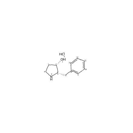 Cl.O[C@H]1CCN[C@H]1Cc1ccccc1